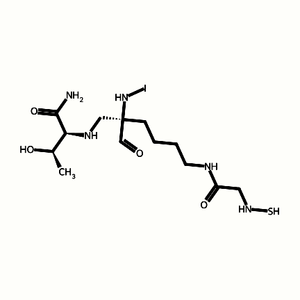 C[C@@H](O)[C@H](NC[C@@](C=O)(CCCCNC(=O)CNS)NI)C(N)=O